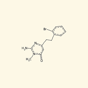 Cn1c(N)nc(CCc2ccccc2Br)cc1=O